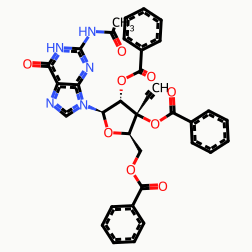 C#C[C@@]1(OC(=O)c2ccccc2)[C@@H](COC(=O)c2ccccc2)O[C@@H](n2cnc3c(=O)[nH]c(NC(C)=O)nc32)[C@@H]1OC(=O)c1ccccc1